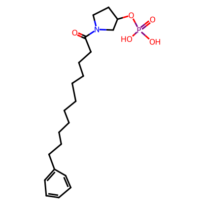 O=C(CCCCCCCCCCc1ccccc1)N1CCC(OP(=O)(O)O)C1